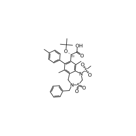 Cc1ccc(-c2c(C)c3c(c(C)c2[C@H](OC(C)(C)C)C(=O)O)N(S(C)(=O)=O)CS(=O)(=O)N(Cc2ccccc2)C3)cc1